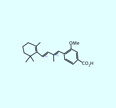 COc1cc(C(=O)O)ccc1/C=C(C)/C=C/C1=C(C)CCCC1(C)C